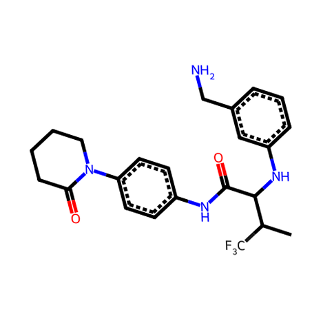 CC(C(Nc1cccc(CN)c1)C(=O)Nc1ccc(N2CCCCC2=O)cc1)C(F)(F)F